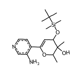 CC1OC(c2ccncc2N)=CC(O[Si](C)(C)C(C)(C)C)C1(C)O